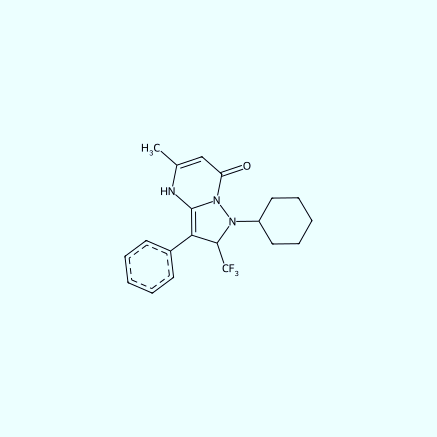 CC1=CC(=O)N2C(=C(c3ccccc3)C(C(F)(F)F)N2C2CCCCC2)N1